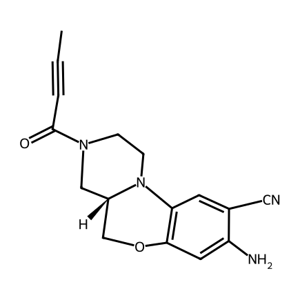 CC#CC(=O)N1CCN2c3cc(C#N)c(N)cc3OC[C@@H]2C1